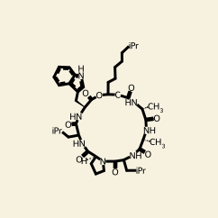 CC(C)CCCCCC1CC(=O)N[C@H](C)C(=O)N[C@H](C)C(=O)NC(CC(C)C)C(=O)N2CCC[C@H]2C(=O)NC(CC(C)C)C(=O)N[C@@H](Cc2c[nH]c3ccccc23)C(=O)O1